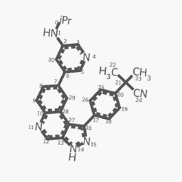 CC(C)Nc1cncc(-c2ccc3ncc4[nH]nc(-c5ccc(C(C)(C)C#N)cc5)c4c3c2)c1